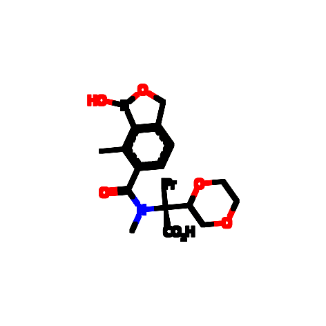 Cc1c(C(=O)N(C)[C@](C(=O)O)(C(C)C)C2COCCO2)ccc2c1B(O)OC2